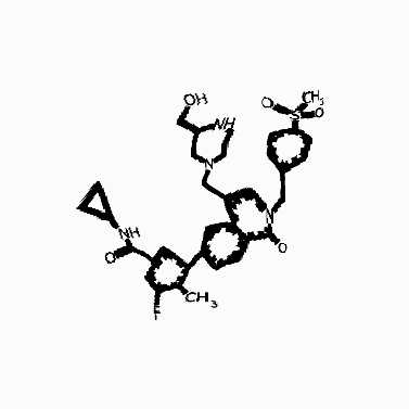 Cc1c(F)cc(C(=O)NC2CC2)cc1-c1ccc2c(=O)n(Cc3ccc(S(C)(=O)=O)cc3)cc(CN3CCNC(CO)C3)c2c1